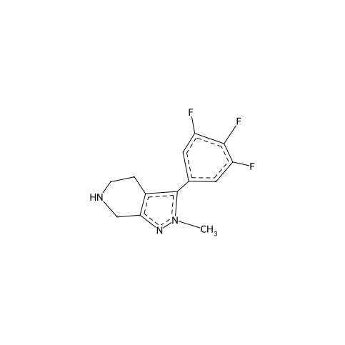 Cn1nc2c(c1-c1cc(F)c(F)c(F)c1)CCNC2